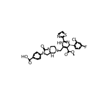 COC(=O)C1=C(CN2CCN3C(=O)N(c4ccc(C(=O)O)cc4)C[C@@H]3C2)NC(c2nccs2)=N[C@H]1c1ccc(F)cc1Cl